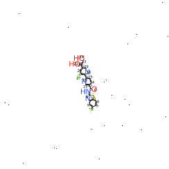 O=C(Nc1nc2cc(F)ccc2s1)c1ccc(-c2ncc([C@H](O)CO)cc2F)nc1